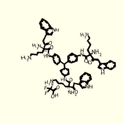 NCCCC[C@](N)(C(=O)Cc1c[nH]c2ccccc12)C(=O)Nc1ccc(C(c2ccc(NC(=O)[C@](N)(CCCCN)C(=O)Cc3c[nH]c4ccccc34)cc2)c2ccc(NC(=O)[C@](N)(CCCCN)C(=O)Cc3c[nH]c4ccccc34)cc2)cc1.O=C(O)C(F)(F)F